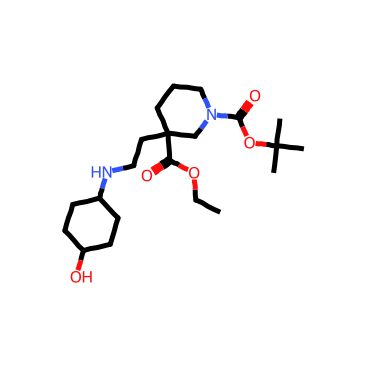 CCOC(=O)C1(CCNC2CCC(O)CC2)CCCN(C(=O)OC(C)(C)C)C1